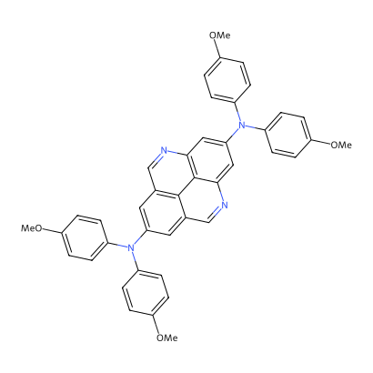 COc1ccc(N(c2ccc(OC)cc2)c2cc3cnc4cc(N(c5ccc(OC)cc5)c5ccc(OC)cc5)cc5ncc(c2)c3c45)cc1